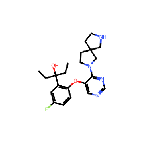 CCC(O)(CC)c1cc(F)ccc1Oc1cncnc1N1CCC2(CCNC2)C1